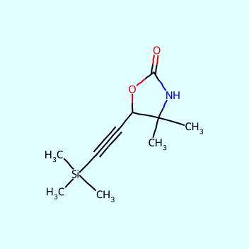 CC1(C)NC(=O)OC1C#C[Si](C)(C)C